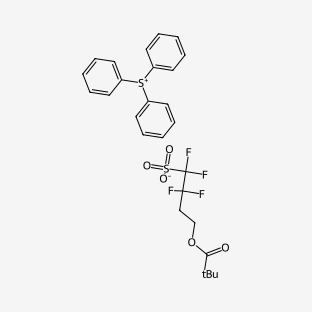 CC(C)(C)C(=O)OCCC(F)(F)C(F)(F)S(=O)(=O)[O-].c1ccc([S+](c2ccccc2)c2ccccc2)cc1